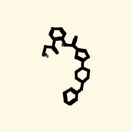 COC(=O)c1cnccc1NC(=O)c1coc(C2CCC(Oc3ncccn3)CC2)n1